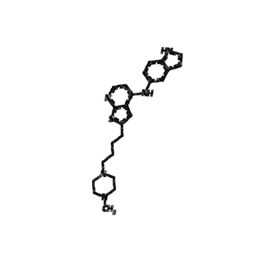 CN1CCN(CCCCc2cc3c(Nc4ccc5[nH]ccc5c4)ccnc3s2)CC1